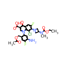 CCOC(=O)N(C)C1CN(c2c(F)cc3c(=O)c(C(=O)O)cn(-c4cc(N)c(F)cc4COC(C)=O)c3c2Cl)C1